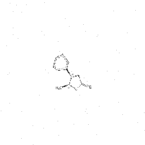 C[C@@H]1OC(=O)C[C@@H]1c1ccccc1